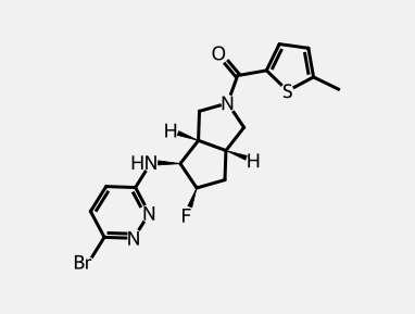 Cc1ccc(C(=O)N2C[C@@H]3C[C@@H](F)[C@@H](Nc4ccc(Br)nn4)[C@@H]3C2)s1